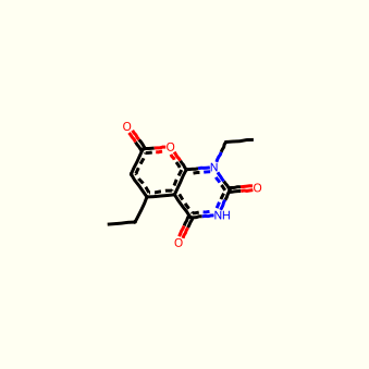 CCc1cc(=O)oc2c1c(=O)[nH]c(=O)n2CC